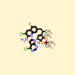 CC(Cc1cc(F)c2cc(Cl)c(N)nc2c1)C1=C[C@@H](n2ccc3c(Cl)ncnc32)[C@@H]2OC(C)(C)O[C@]12C